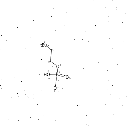 CC(C)(C)[CH]COP(=O)(O)O